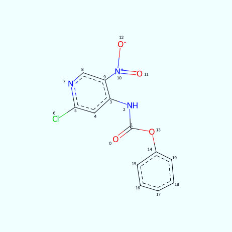 O=C(Nc1cc(Cl)ncc1[N+](=O)[O-])Oc1ccccc1